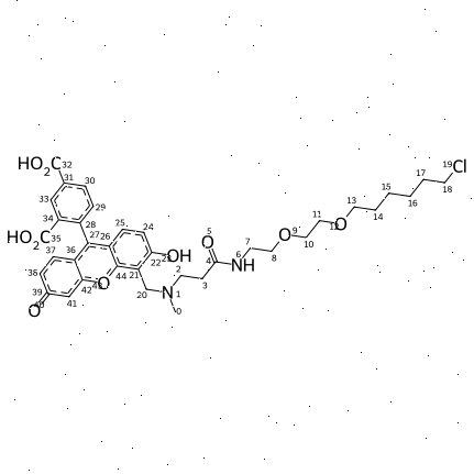 CN(CCC(=O)NCCOCCOCCCCCCCl)Cc1c(O)ccc2c(-c3ccc(C(=O)O)cc3C(=O)O)c3ccc(=O)cc-3oc12